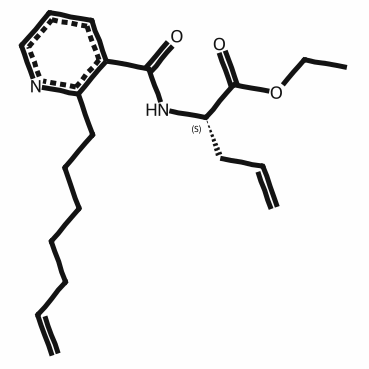 C=CCCCCCc1ncccc1C(=O)N[C@@H](CC=C)C(=O)OCC